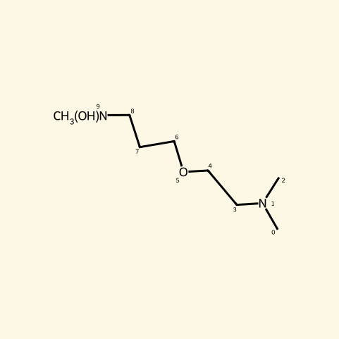 CN(C)CCOCCCN(C)O